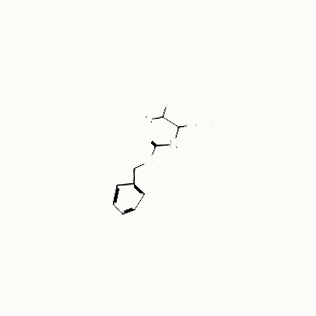 CC(N)C(NC(=O)OCc1ccccc1)C(=O)O